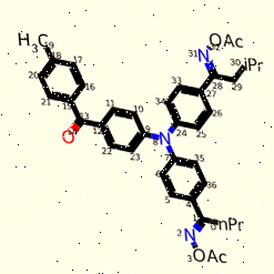 CCC/C(=N\OC(C)=O)c1ccc(N(c2ccc(C(=O)c3ccc(C)cc3)cc2)c2ccc(/C(CC(C)C)=N/OC(C)=O)cc2)cc1